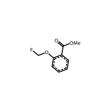 COC(=O)c1ccccc1OCF